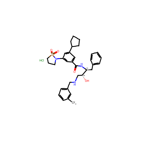 Cl.O=C(N[C@@H](Cc1ccccc1)[C@H](O)CNCc1cccc(C(F)(F)F)c1)c1cc(C2CCCC2)cc(N2CCCS2(=O)=O)c1